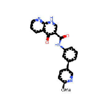 COc1ccc(-c2cccc(NC(=O)c3c[nH]c4ncccc4c3=O)c2)cn1